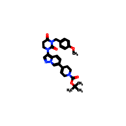 COc1ccc(CN2C(=O)CCN(c3cnn4cc(C5=CCN(C(=O)OC(C)(C)C)CC5)ccc34)C2=O)cc1